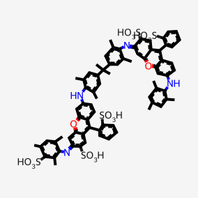 Cc1cc(C)c(Nc2ccc3c(-c4ccccc4S(=O)(=O)O)c4cc(S(=O)(=O)O)c(=Nc5c(C)cc(C(C)(C)c6cc(C)c(Nc7ccc8c(-c9ccccc9S(=O)(=O)O)c9cc(S(=O)(=O)O)/c(=N/c%10c(C)cc(C)c(S(=O)(=O)O)c%10C)cc-9oc8c7)c(C)c6)cc5C)cc-4oc3c2)c(C)c1